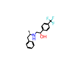 C[C@H](Cc1ccccc1)NC[C@H](O)c1ccc(C(F)(F)F)cc1